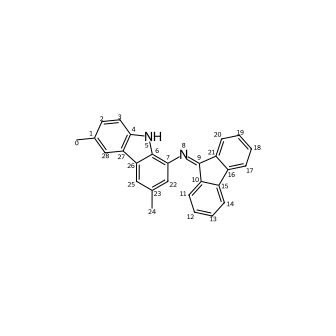 Cc1ccc2[nH]c3c(N=C4c5ccccc5-c5ccccc54)cc(C)cc3c2c1